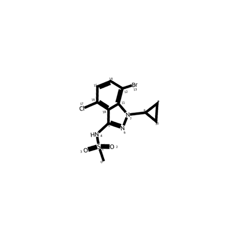 CS(=O)(=O)Nc1nn(C2CC2)c2c(Br)ccc(Cl)c12